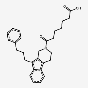 O=C(O)CCCCCC(=O)N1CCc2c(n(CCCc3ccccc3)c3ccccc23)C1